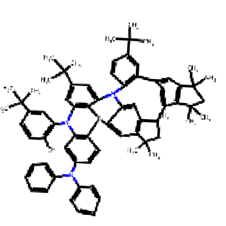 Cc1ccc(C(C)(C)C)cc1N1c2cc(N(c3ccccc3)c3ccccc3)ccc2B2c3cc4c5cc3N(c3ccc(C(C)(C)C)cc3-c3cc6c(c(c3)C5(C)CC4(C)C)C(C)(C)CC6(C)C)c3cc(C(C)(C)C)cc1c32